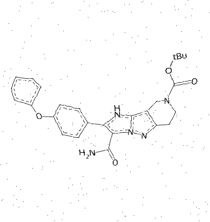 CC(C)(C)OC(=O)N1CCc2nn3c(C(N)=O)c(-c4ccc(Oc5ccccc5)cc4)[nH]c3c2C1